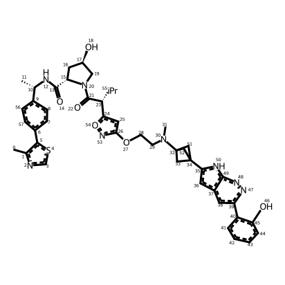 Cc1ncsc1-c1ccc([C@H](C)NC(=O)[C@@H]2C[C@@H](O)CN2C(=O)[C@@H](c2cc(OCCN(C)C34CC(c5cc6cc(-c7ccccc7O)nnc6[nH]5)(C3)C4)no2)C(C)C)cc1